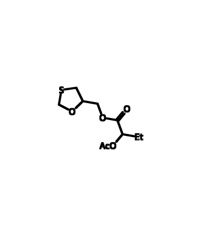 CCC(OC(C)=O)C(=O)OCC1CSCO1